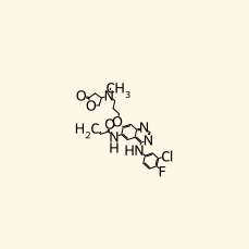 C=CC(=O)Nc1cc2c(Nc3ccc(F)c(Cl)c3)ncnc2cc1OCCCN(C)C1COC(=O)C1